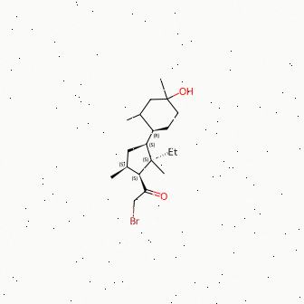 CC[C@@]1(C)[C@H]([C@@H]2CCC(C)(O)CC2C)C[C@H](C)[C@@H]1C(=O)CBr